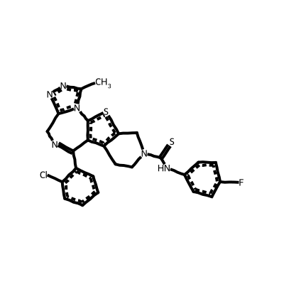 Cc1nnc2n1-c1sc3c(c1C(c1ccccc1Cl)=NC2)CCN(C(=S)Nc1ccc(F)cc1)C3